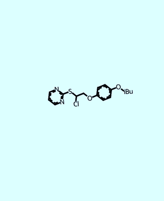 CCC(C)Oc1ccc(OCC(Cl)Sc2ncccn2)cc1